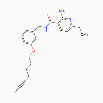 CC#CCCCCOc1cccc(CNC(=O)c2ccc(COC)nc2N)c1